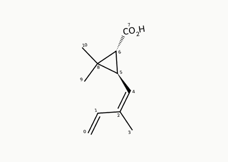 C=CC(C)=C[C@@H]1[C@@H](C(=O)O)C1(C)C